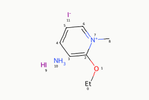 CCOc1cccc[n+]1C.I.N.[I-]